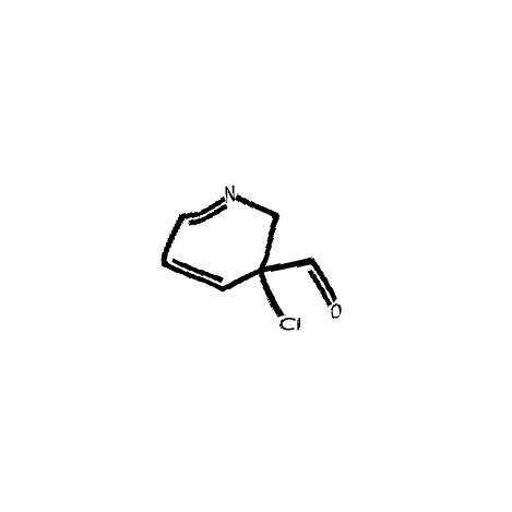 O=CC1(Cl)C=CC=NC1